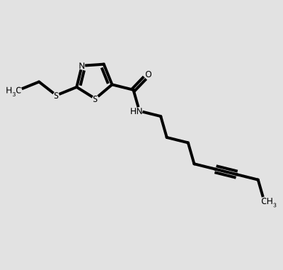 CCC#CCCCCNC(=O)c1cnc(SCC)s1